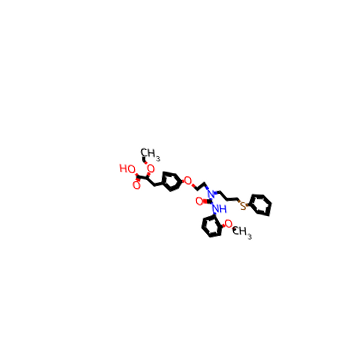 CCOC(Cc1ccc(OCCN(CCCSc2ccccc2)C(=O)Nc2ccccc2OC)cc1)C(=O)O